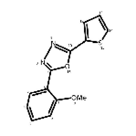 COc1ccccc1-c1nnc(-c2cccs2)o1